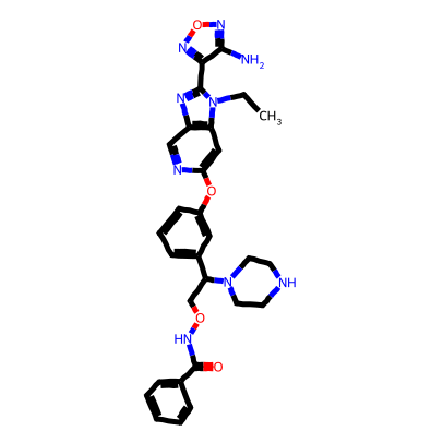 CCn1c(-c2nonc2N)nc2cnc(Oc3cccc(C(CONC(=O)c4ccccc4)N4CCNCC4)c3)cc21